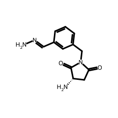 NN=Cc1cccc(CN2C(=O)C[C@H](N)C2=O)c1